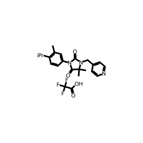 Cc1cc(N2C(=O)N(Cc3ccncc3)C(C)(C)C2=O)ccc1C(C)C.O=C(O)C(F)(F)F